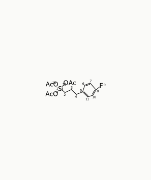 CC(=O)O[Si](CCCc1ccc(F)cc1)(OC(C)=O)OC(C)=O